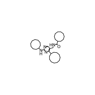 O=C(NCc1cnc(NC2CCCCCCCCC2)nc1C1CCCCCCCCCC1)C1CCCCCCCCC1